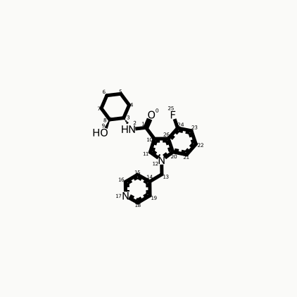 O=C(N[C@H]1CCCC[C@@H]1O)c1cn(Cc2ccncc2)c2cccc(F)c12